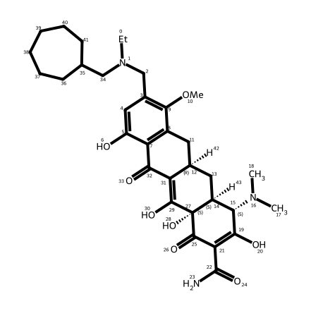 CCN(Cc1cc(O)c2c(c1OC)C[C@H]1C[C@H]3[C@H](N(C)C)C(O)=C(C(N)=O)C(=O)[C@@]3(O)C(O)=C1C2=O)CC1CCCCCC1